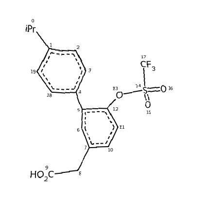 CC(C)c1ccc(-c2cc(CC(=O)O)ccc2OS(=O)(=O)C(F)(F)F)cc1